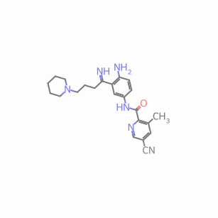 Cc1cc(C#N)cnc1C(=O)Nc1ccc(N)c(C(=N)CCCN2CCCCC2)c1